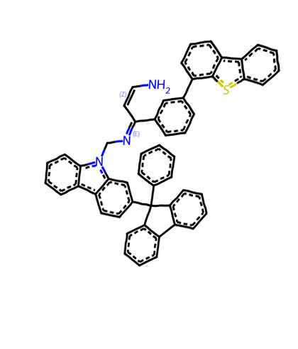 N/C=C\C(=N/Cn1c2ccccc2c2ccc(C3(c4ccccc4)c4ccccc4-c4ccccc43)cc21)c1cccc(-c2cccc3c2sc2ccccc23)c1